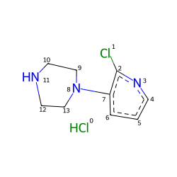 Cl.Clc1ncccc1N1CCNCC1